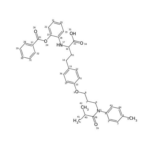 Cc1ccc(N(CCCOc2ccc(CCC(Nc3ccccc3OC(=O)c3ccccc3)C(=O)O)cc2)C(=O)C(C)C)cc1